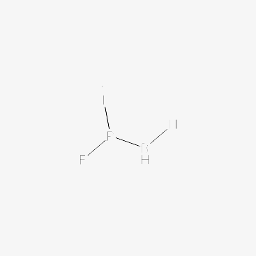 [3H]BP(F)I